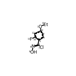 CCOc1ccc(C(Cl)=NO)c(F)c1